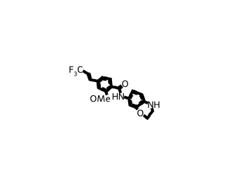 COc1cc(C=CC(F)(F)F)ccc1C(=O)Nc1ccc2c(c1)OCCN2